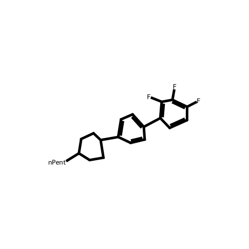 CCCCCC1CCC(c2ccc(-c3ccc(F)c(F)c3F)cc2)CC1